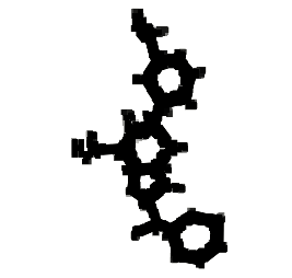 CC(c1ccccc1)c1cc2c(N)nc(-c3cccc(C#N)c3)nc2s1